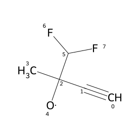 C#CC(C)([O])C(F)F